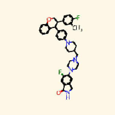 Cc1cc(C2COc3ccccc3C2c2ccc(N3CCC(CN4CCN(c5cc6c(cc5F)C(=O)NC6)CC4)CC3)cc2)ccc1F